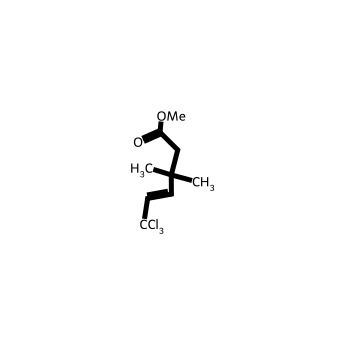 COC(=O)CC(C)(C)/C=C/C(Cl)(Cl)Cl